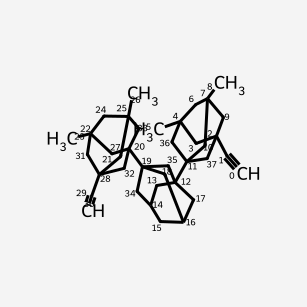 C#CC12CC3(C)CC(C)(C1)CC(C14CC5CC(C1)CC(C16CC7(C)CC(C)(CC(C#C)(C7)C1)C6)(C5)C4)(C3)C2